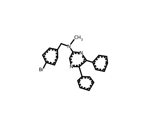 CN(Cc1ccc(Br)cc1)c1cnc(-c2ccccc2)c(-c2ccccc2)n1